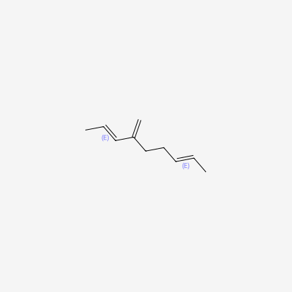 C=C(/C=C/C)CC/C=C/C